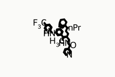 CCCC(CCC(CNC(=O)c1cccnc1)=C(C)c1cccc(Nc2ccc(C(F)(F)F)cn2)c1)C12CCCC(CC1)C2